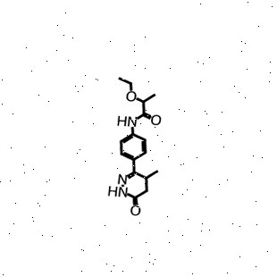 CCOC(C)C(=O)Nc1ccc(C2=NNC(=O)CC2C)cc1